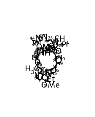 CCn1c(-c2cnccc2COC)c2c3cc(ccc31)-c1cccc(c1)C[C@H](NC(=O)[C@H](C(C)C)N(C)C(=O)CCN=C=NC1(COC)CC1)C(=O)N1CCC[C@H](N1)C(=O)OCC(C)(C)C2